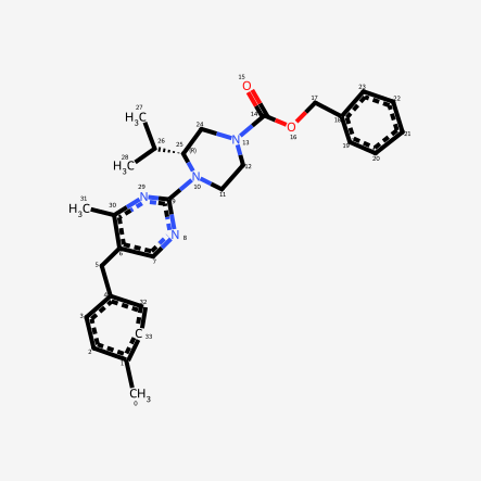 Cc1ccc(Cc2cnc(N3CCN(C(=O)OCc4ccccc4)C[C@H]3C(C)C)nc2C)cc1